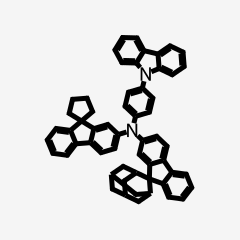 c1ccc2c(c1)-c1ccc(N(c3ccc(-n4c5ccccc5c5ccccc54)cc3)c3ccc4c(c3)C3(c5ccccc5-4)C4CC5CC(C4)CC3C5)cc1C21CCCC1